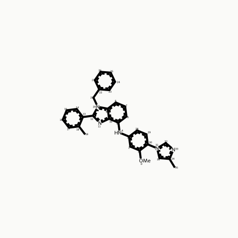 COc1cc(Nc2cccc3c2nc(-c2ccccc2C)n3Cc2ccccc2)ccc1-n1cnc(C)c1